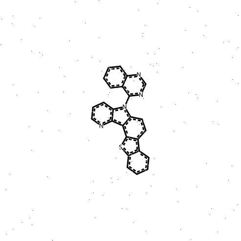 c1ccc2c(-n3c4cccnc4c4c5sc6ccccc6c5ccc43)ncnc2c1